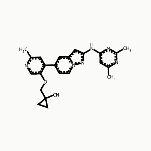 Cc1cc(-c2ccn3nc(Nc4cc(C)nc(C)n4)cc3c2)c(OCC2(C#N)CC2)cn1